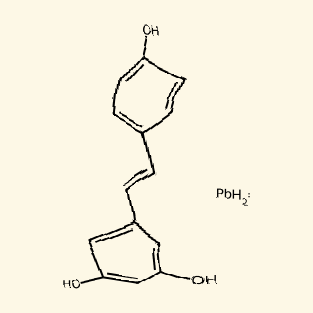 Oc1ccc(C=Cc2cc(O)cc(O)c2)cc1.[PbH2]